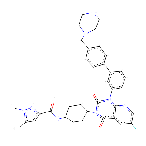 Cc1cc(C(=O)NC2CCC(n3c(=O)c4cc(F)cnc4n(-c4cccc(-c5ccc(CN6CCNCC6)cc5)c4)c3=O)CC2)nn1C